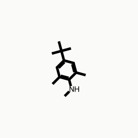 CNc1c(C)cc(C(C)(C)C)cc1C